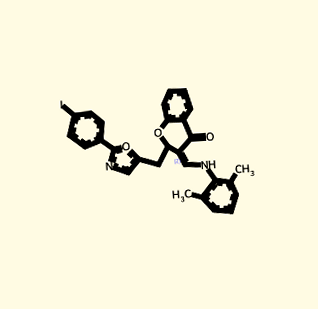 Cc1cccc(C)c1N/C=C1\C(=O)c2ccccc2OC1Cc1cnc(-c2ccc(I)cc2)o1